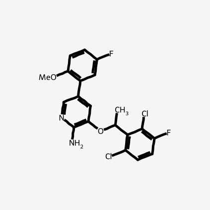 COc1ccc(F)cc1-c1cnc(N)c(OC(C)c2c(Cl)ccc(F)c2Cl)c1